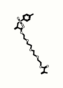 C=C(C)C(=O)OCCOCCOCCOCCOC(=O)C(=C)CS(=O)(=O)c1ccc(C)cc1